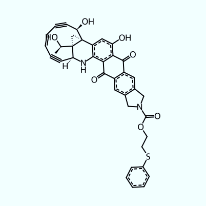 C[C@@H](O)[C@@]12C[C@]13c1cc(O)c4c(c1N[C@H]2C#C/C=C\C#C[C@H]3O)C(=O)c1cc2c(cc1C4=O)CN(C(=O)OCCSc1ccccc1)C2